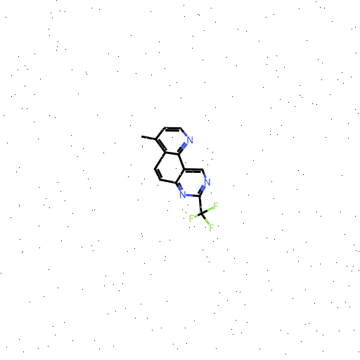 Cc1ccnc2c1ccc1nc(C(F)(F)F)ncc12